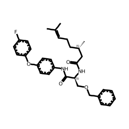 CC(C)=CCC[C@H](C)CC(=O)N[C@@H](COCc1ccccc1)C(=O)Nc1ccc(Oc2ccc(F)cc2)cc1